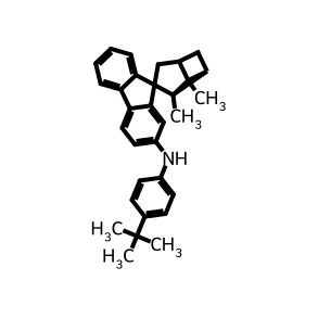 CC(C)(C)c1ccc(Nc2ccc3c(c2)C2(CC4CC5C4(C)C52C)c2ccccc2-3)cc1